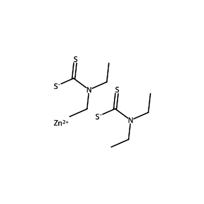 CCN(CC)C(=S)[S-].CCN(CC)C(=S)[S-].[Zn+2]